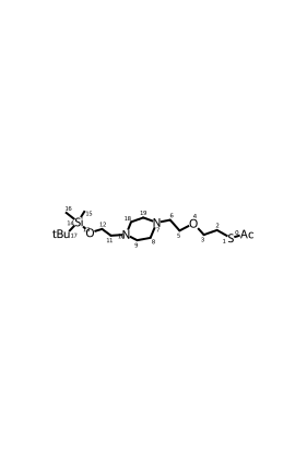 CC(=O)SCCOCCN1CCN(CCO[Si](C)(C)C(C)(C)C)CC1